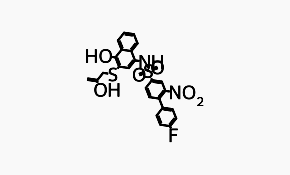 C=C(O)CSc1cc(NS(=O)(=O)c2ccc(-c3ccc(F)cc3)c([N+](=O)[O-])c2)c2ccccc2c1O